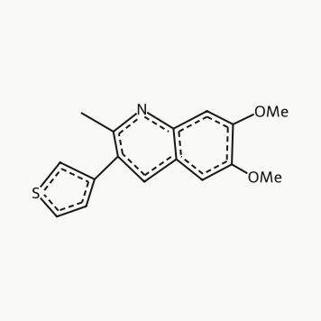 COc1cc2cc(-c3ccsc3)c(C)nc2cc1OC